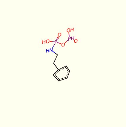 O=[PH](O)OP(=O)(O)NCCc1ccccc1